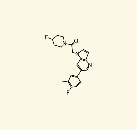 Cc1cc(-c2cnc3ccn(CC(=O)N4CCC(F)CC4)c3c2)ccc1F